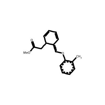 COC(=O)CC1C=CC=CC1=COc1ccccc1C